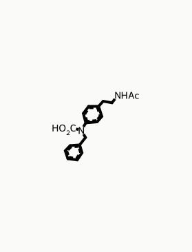 CC(=O)NCCc1ccc(N(Cc2ccccc2)C(=O)O)cc1